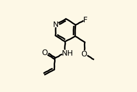 C=CC(=O)Nc1cncc(F)c1COC